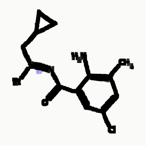 CC/S(CC1CC1)=N\C(=O)c1cc(Cl)cc(C)c1N